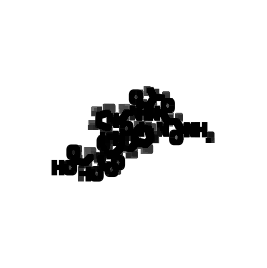 CC(C)[C@H](NC(=O)[C@@H](N)CC(N)=O)C(=O)NCC(=O)N1CCC[C@H]1C(=O)N[C@@H](Cc1ccccc1)C(=O)N[C@@H](CCC(=O)O)C(=O)O